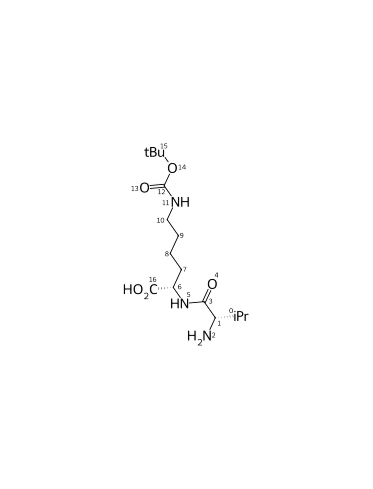 CC(C)[C@H](N)C(=O)N[C@@H](CCCCNC(=O)OC(C)(C)C)C(=O)O